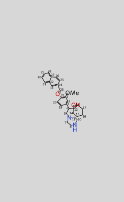 COc1cc(C(CN2CCNCC2)C2(O)CCCCC2)ccc1OCc1ccc2ccccc2c1